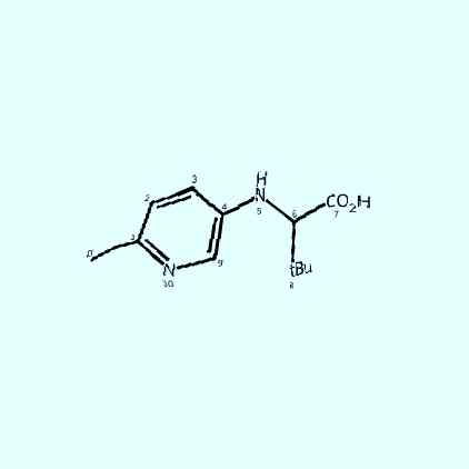 Cc1ccc(NC(C(=O)O)C(C)(C)C)cn1